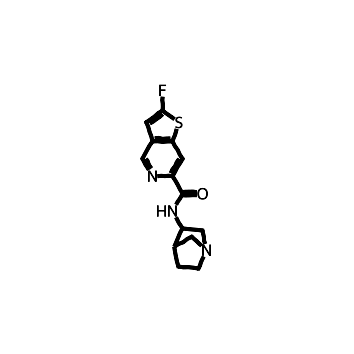 O=C(NC1CN2CCC1C2)c1cc2sc(F)cc2cn1